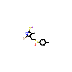 Cc1ccc([S+]([O-])CCc2c(Br)[nH]c(SI)c2C)cc1